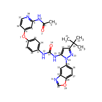 CC(=O)Nc1cc(Oc2ccc(NC(=O)Nc3cc(C(C)(C)C)nn3-c3ccc4ocnc4c3)cc2)ccn1